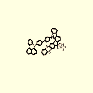 CC1(C)c2cc3c(cc2-c2c1ccc1c4ccccc4n(-c4ccc(-c5ccc(N(c6ccccc6)c6cccc7ccccc67)cc5)cc4)c21)Sc1ccccc1S3